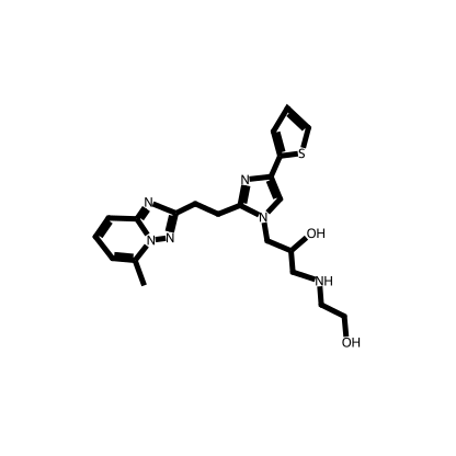 Cc1cccc2nc(CCc3nc(-c4cccs4)cn3CC(O)CNCCO)nn12